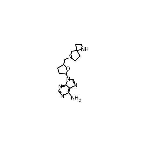 Nc1ncnc2c1ncn2C1CCC(CN2CCC3(CCN3)C2)O1